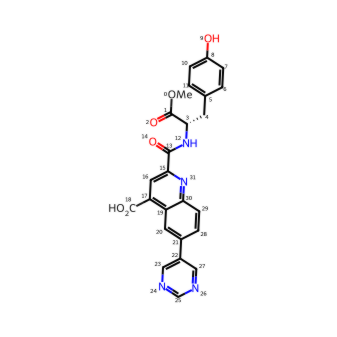 COC(=O)[C@H](Cc1ccc(O)cc1)NC(=O)c1cc(C(=O)O)c2cc(-c3cncnc3)ccc2n1